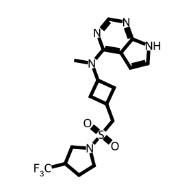 CN(c1ncnc2[nH]ccc12)C1CC(CS(=O)(=O)N2CCC(C(F)(F)F)C2)C1